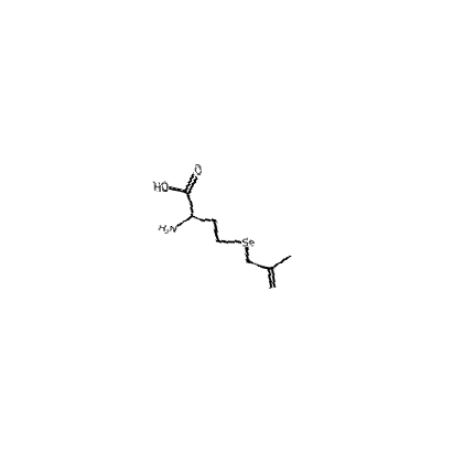 C=C(C)C[Se]CCC(N)C(=O)O